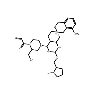 C=CC(=O)N1CCN(C2NC(OCC3CCCN3C)NC3C[C@@]4(CCC32)Cc2c(cccc2OC)CO4)CC1CC#N